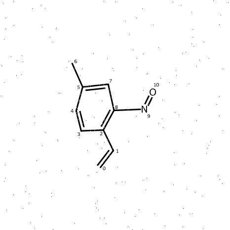 C=Cc1ccc(C)cc1N=O